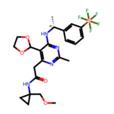 COCC1(NC(=O)Cc2nc(C)nc(N[C@H](C)c3cccc(S(F)(F)(F)(F)F)c3)c2C2OCCO2)CC1